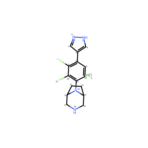 Cl.Fc1c(-c2cn[nH]c2)ccc(N2C3CCC2CNC3)c1F